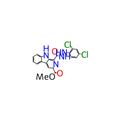 COC(=O)c1cc2c([nH]c3ccccc32)c(C(=O)NNc2ccc(Cl)cc2Cl)n1